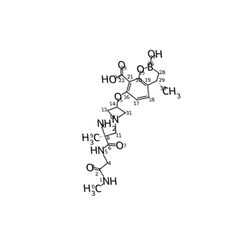 CNC(=O)CNC(=O)[C@@](C)(N)CN1CC(Oc2ccc3c(c2C(=O)O)OB(O)C[C@@H]3C)C1